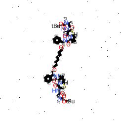 C[C@@H](C(=O)N[C@]1(C)CS[C@H]2CC(C)(C)[C@@H](C(=O)N[C@H](COCCCCCCCCOC[C@@H](NC(=O)[C@H]3N4C(=O)[C@@H](NC(=O)CN(C)C(=O)OC(C)(C)C)CS[C@H]4CC3(C)C)c3ccccc3)c3ccccc3)N2C1=O)N(C)C(=O)OC(C)(C)C